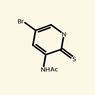 CC(=O)NC1=CC(Br)=C[N]C1=S